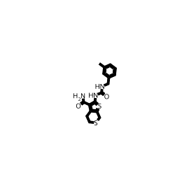 Cc1cccc(CNC(=O)Nc2sc3c(c2C(N)=O)CCSC3)c1